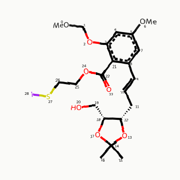 COCOc1cc(OC)cc(/C=C/C[C@@H]2OC(C)(C)O[C@@H]2CO)c1C(=O)OCCSI